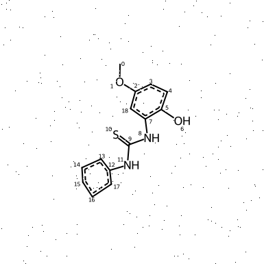 COc1ccc(O)c(NC(=S)Nc2ccccc2)c1